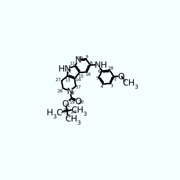 COc1cccc(Nc2cnc3[nH]c4c(c3c2)CN(C(=O)OC(C)(C)C)CC4)c1